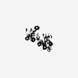 CC(C)(C)N(C(=O)O)[C@@H](Cc1ccccc1)[C@H](O)CN(OC1CCCC1)S(=O)(=O)c1cccc([N+](=O)[O-])c1.N[C@@H](Cc1ccccc1)[C@H](O)CN(OC1CCCC1)S(=O)(=O)c1cccc([N+](=O)[O-])c1